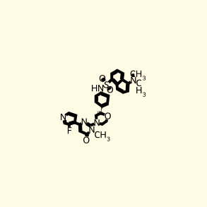 CN(C)c1cccc2c(S(=O)(=O)Nc3ccc([C@H]4CN(c5nc(-c6ccncc6F)cc(=O)n5C)CCO4)cc3)cccc12